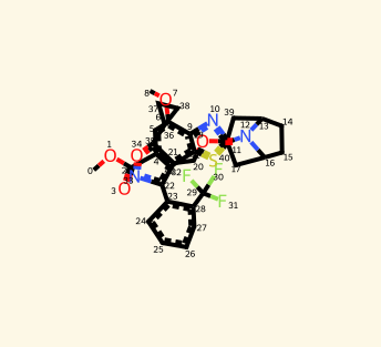 COC(=O)c1cc(OC)c2nc(N3C4CCC3CC(OCc3c(-c5ccccc5C(F)(F)F)noc3C3CC3)C4)sc2c1